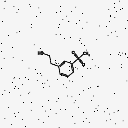 CS(=O)(=O)c1cccc(CCO)c1